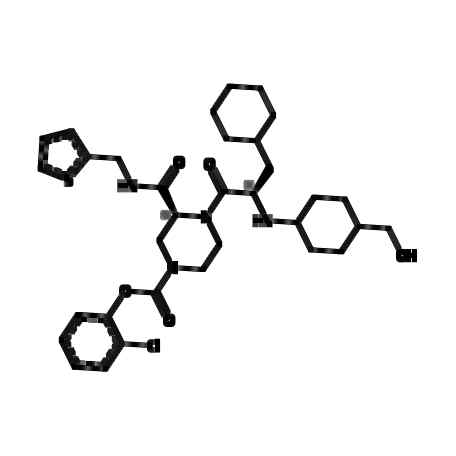 O=C(NCc1cccs1)[C@@H]1CN(C(=O)Oc2ccccc2Cl)CCN1C(=O)[C@@H](CC1CCCCC1)NC1CCC(CO)CC1